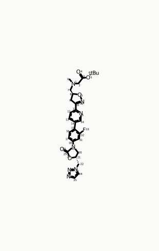 CN(CC(=O)OC(C)(C)C)C[C@@H]1CC(c2ccc(-c3ccc(N4C[C@H](Cn5ccnn5)OC4=O)cc3F)cn2)=NO1